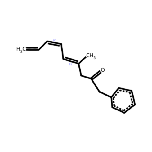 C=C/C=C\C=C(/C)CC(=O)Cc1ccccc1